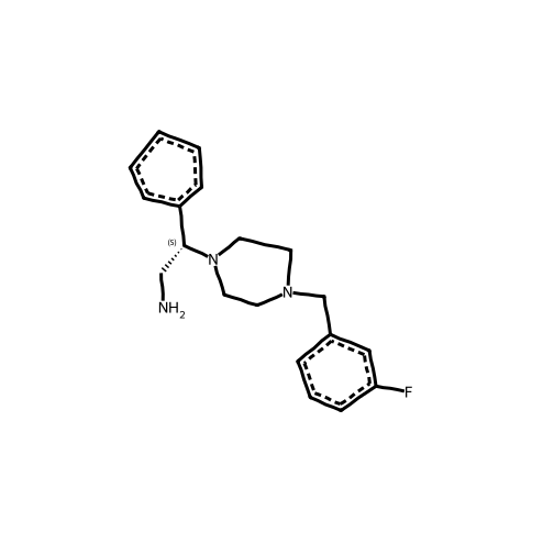 NC[C@H](c1ccccc1)N1CCN(Cc2cccc(F)c2)CC1